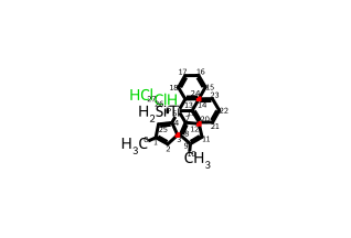 CC1=CC[C]([Ti](=[SiH2])([C]2=CC(C)=CC2)([c]2ccccc2)[c]2ccccc2)=C1.Cl.Cl